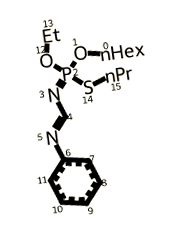 CCCCCCOP(=NC=Nc1ccccc1)(OCC)SCCC